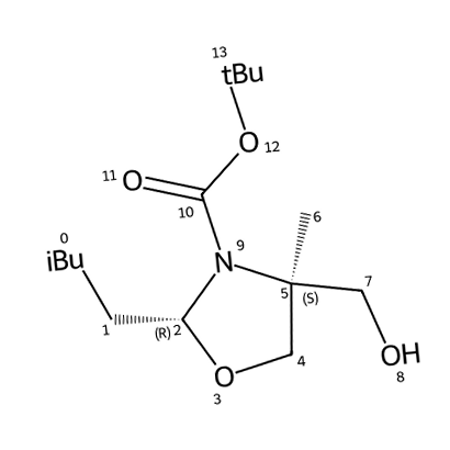 CCC(C)C[C@H]1OC[C@](C)(CO)N1C(=O)OC(C)(C)C